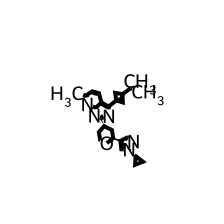 Cc1ccc2c(C34CC(C(C)C)(C3)C4)nc([C@H]3CCO[C@H](c4cnn(C5CC5)c4)C3)nc2n1